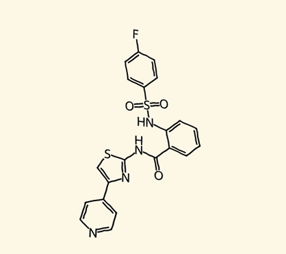 O=C(Nc1nc(-c2ccncc2)cs1)c1ccccc1NS(=O)(=O)c1ccc(F)cc1